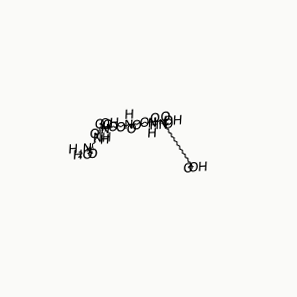 N[C@@H](CCCCNC(=O)CC[C@H](NC(=O)COCCOCCNC(=O)COCCOCCNC(=O)CC[C@H](NC(=O)CCCCCCCCCCCCCCCCCCC(=O)O)C(=O)O)C(=O)O)C(=O)O